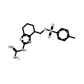 Cc1ccc(S(=O)(=O)OCC2CCCc3sc(NC(=N)N)nc32)cc1